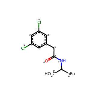 CCCCC(NC(=O)Cc1cc(Cl)cc(Cl)c1)C(=O)O